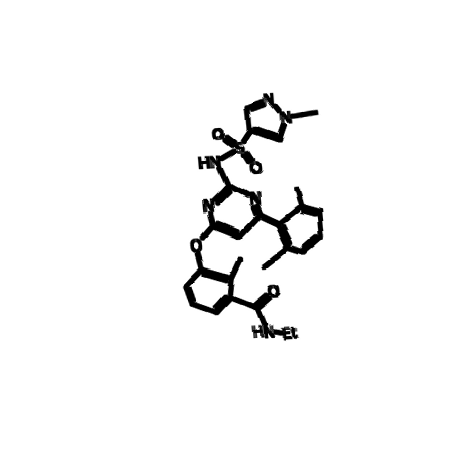 CCNC(=O)c1cccc(Oc2cc(-c3c(C)cccc3C)nc(NS(=O)(=O)c3cnn(C)c3)n2)c1C